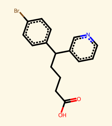 O=C(O)CCCC(c1ccc(Br)cc1)c1cccnc1